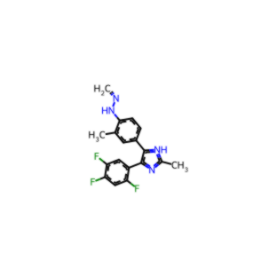 C=NNc1ccc(-c2[nH]c(C)nc2-c2cc(F)c(F)cc2F)cc1C